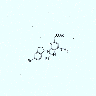 CCc1nc2c(C)cc(COC(C)=O)nc2n1[C@H]1CCc2cc(Br)ccc21